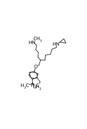 C=C(C)c1ccc(OCC(CCCCCNC2CC2)CCCCNC)cc1CC